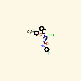 Cc1ccccc1C(CN1C=CN(CC(=O)Nc2ccc(F)cc2)C1)Oc1ccc([N+](=O)[O-])cc1.Cl